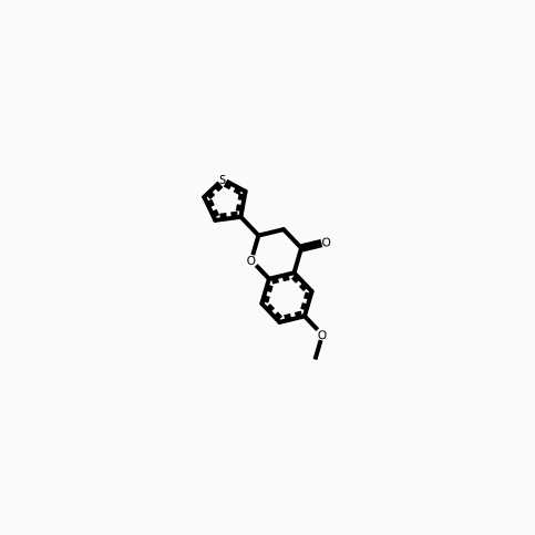 COc1ccc2c(c1)C(=O)CC(c1ccsc1)O2